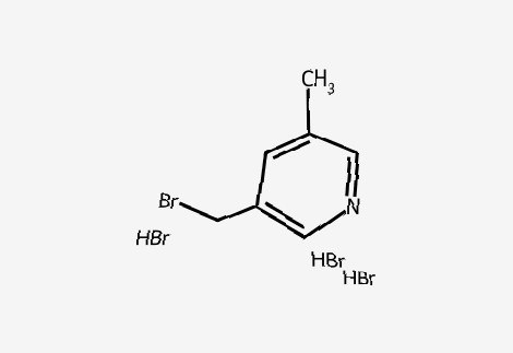 Br.Br.Br.Cc1cncc(CBr)c1